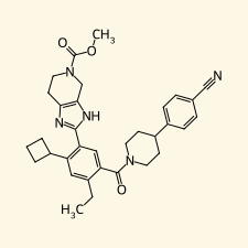 CCc1cc(C2CCC2)c(-c2nc3c([nH]2)CN(C(=O)OC)CC3)cc1C(=O)N1CCC(c2ccc(C#N)cc2)CC1